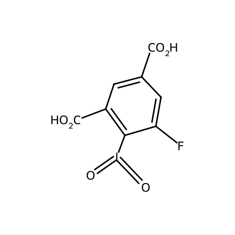 O=C(O)c1cc(F)c(I(=O)=O)c(C(=O)O)c1